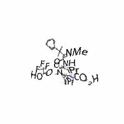 CN[C@H](C(=O)N[C@H](C(=O)N(C)[C@H](/C=C(\C)C(=O)O)C(C)C)C(C)C)C(C)(C)c1ccccc1.O=C(O)C(F)(F)F